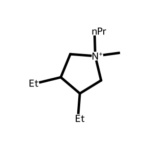 CCC[N+]1(C)CC(CC)C(CC)C1